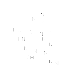 CC(=O)Nc1cc(-c2c(Nc3cc[nH]n3)nc3ccc(-c4cncnc4)nn23)nc(C)n1